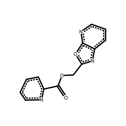 O=C(OCc1nc2cccnc2o1)c1ccccn1